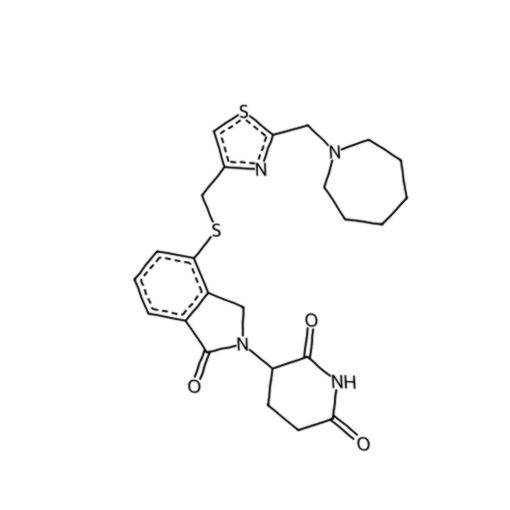 O=C1CCC(N2Cc3c(SCc4csc(CN5CCCCCC5)n4)cccc3C2=O)C(=O)N1